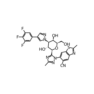 Cc1nc([C@@H]2O[C@H](CO)[C@H](O)[C@H](n3cc(-c4cc(F)c(F)c(F)c4)cn3)[C@H]2O)n(-c2cc3sc(C)nc3cc2C#N)n1